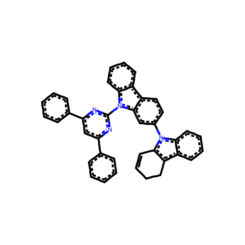 C1=Cc2c(c3ccccc3n2-c2ccc3c4ccccc4n(-c4nc(-c5ccccc5)cc(-c5ccccc5)n4)c3c2)CC1